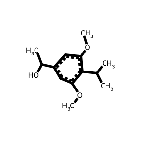 COc1cc(C(C)O)cc(OC)c1C(C)C